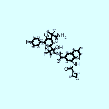 Cc1cnc2c(NC(=O)N3CCC3)cc(C(=O)NC[C@](O)(c3cc4c(c(-c5ccc(F)cc5)n3)OC[C@]4(C)C(N)=O)C(F)(F)F)cc2c1